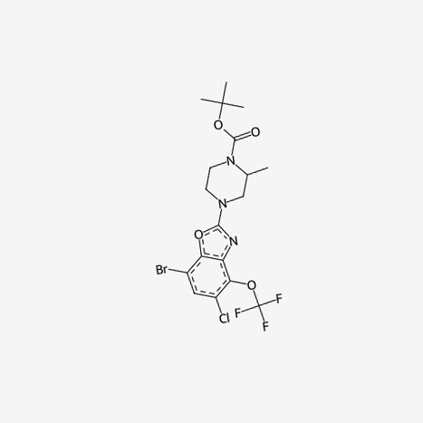 CC1CN(c2nc3c(OC(F)(F)F)c(Cl)cc(Br)c3o2)CCN1C(=O)OC(C)(C)C